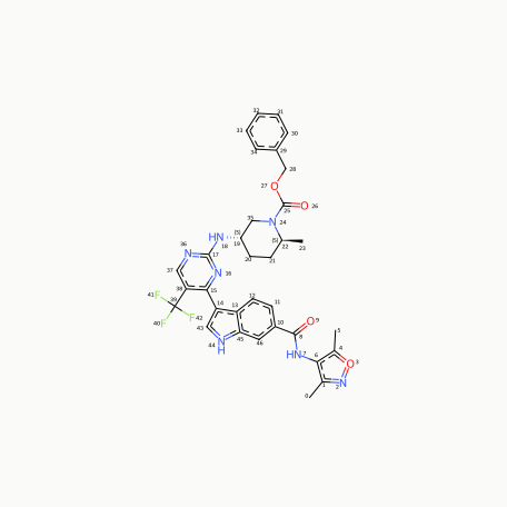 Cc1noc(C)c1NC(=O)c1ccc2c(-c3nc(N[C@H]4CC[C@H](C)N(C(=O)OCc5ccccc5)C4)ncc3C(F)(F)F)c[nH]c2c1